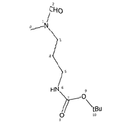 CN(C=O)CCCNC(=O)OC(C)(C)C